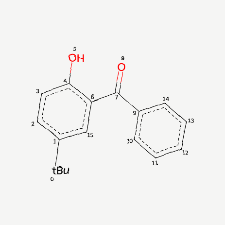 CC(C)(C)c1ccc(O)c(C(=O)c2ccccc2)c1